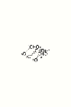 O=C[O-].O=C[O-].O=C[O-].[Lu+3]